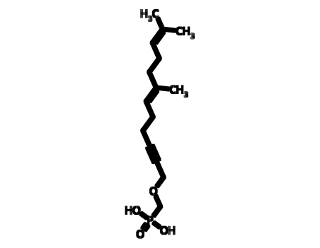 CC(C)=CCC/C(C)=C/CCC#CCOCP(=O)(O)O